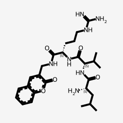 CC(C)C[C@H](N)C(=O)N[C@H](C(=O)N[C@@H](CCCNC(=N)N)C(=O)NCc1cc2ccccc2oc1=O)C(C)C